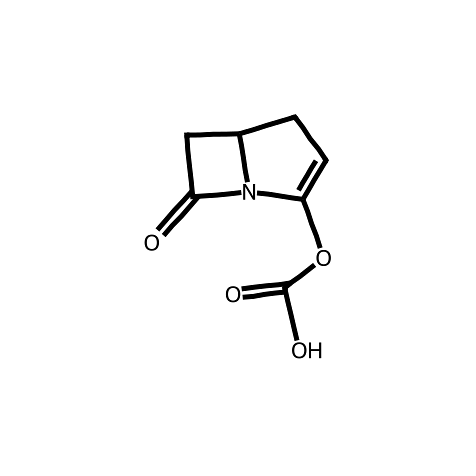 O=C(O)OC1=CCC2CC(=O)N12